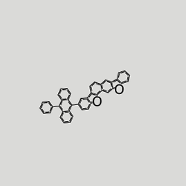 c1ccc(-c2c3ccccc3c(-c3ccc4oc5c6cc7oc8ccccc8c7cc6ccc5c4c3)c3ccccc23)cc1